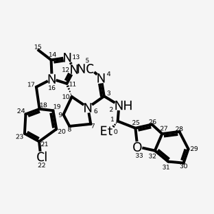 CC[C@H](N/C(=N/C#N)N1CCC[C@@H]1c1nnc(C)n1Cc1ccc(Cl)cc1)c1cc2ccccc2o1